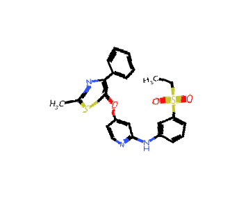 CCS(=O)(=O)c1cccc(Nc2cc(Oc3sc(C)nc3-c3ccccc3)ccn2)c1